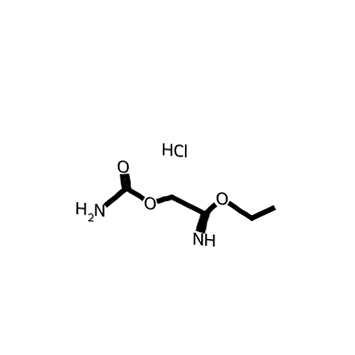 CCOC(=N)COC(N)=O.Cl